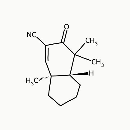 CC1(C)C(=O)C(C#N)=C[C@]2(C)CCCC[C@@H]12